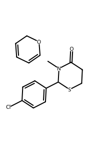 C1=CCOC=C1.CN1C(=O)CCSC1c1ccc(Cl)cc1